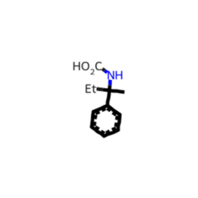 CCC(C)(NC(=O)O)c1ccccc1